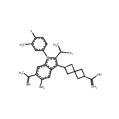 C=C(O)C1CC2(C1)CC(c1c(C(C)C)n(-c3ccc(F)c(C)c3)c3cc(C(C)=N)c(N)cc13)C2